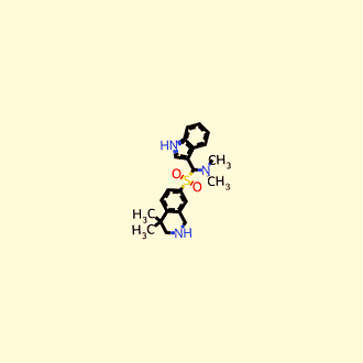 CN(C)C(c1c[nH]c2ccccc12)S(=O)(=O)c1ccc2c(c1)CNCC2(C)C